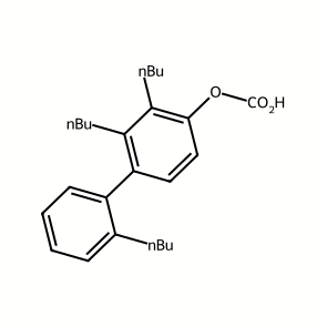 CCCCc1ccccc1-c1ccc(OC(=O)O)c(CCCC)c1CCCC